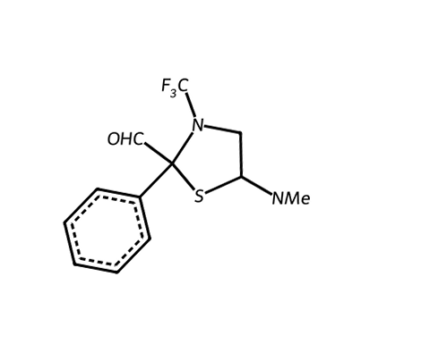 CNC1CN(C(F)(F)F)C(C=O)(c2ccccc2)S1